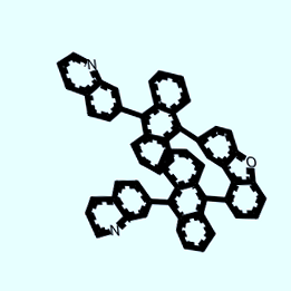 c1cnc2cc(-c3c4ccccc4c(-c4ccc5oc6cccc(-c7c8ccccc8c(-c8ccc9cccnc9c8)c8ccccc78)c6c5c4)c4ccccc34)ccc2c1